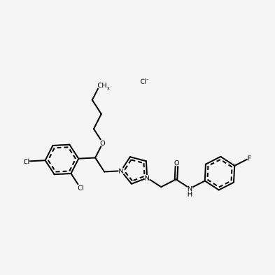 CCCCOC(C[n+]1ccn(CC(=O)Nc2ccc(F)cc2)c1)c1ccc(Cl)cc1Cl.[Cl-]